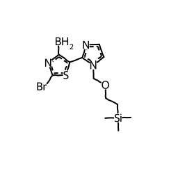 Bc1nc(Br)sc1-c1nccn1COCC[Si](C)(C)C